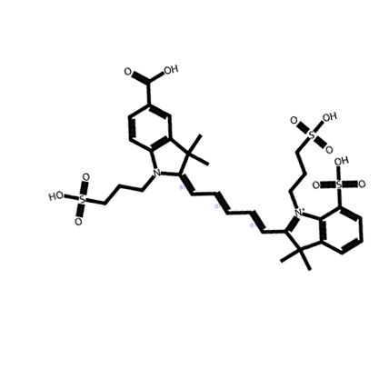 CC1(C)C(/C=C/C=C/C=C2/N(CCCS(=O)(=O)O)c3ccc(C(=O)O)cc3C2(C)C)=[N+](CCCS(=O)(=O)O)c2c1cccc2S(=O)(=O)O